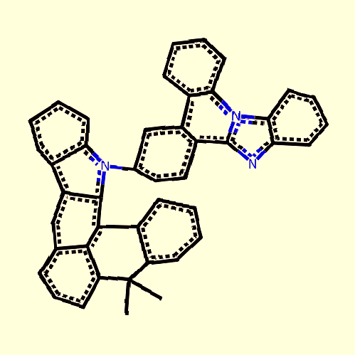 CC1(C)c2ccccc2-c2c3c1cccc3cc1c3ccccc3n(-c3ccc4c(c3)c3ccccc3n3c5ccccc5nc43)c21